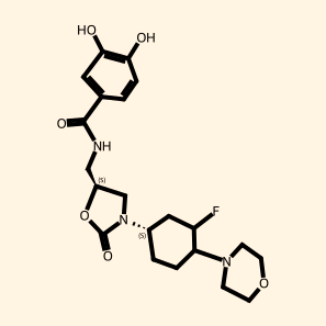 O=C(NC[C@H]1CN([C@H]2CCC(N3CCOCC3)C(F)C2)C(=O)O1)c1ccc(O)c(O)c1